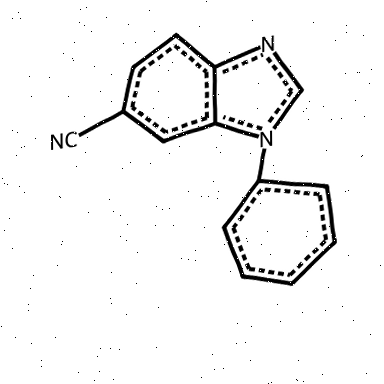 N#Cc1ccc2ncn(-c3ccccc3)c2c1